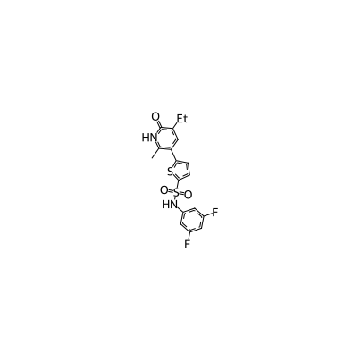 CCc1cc(-c2ccc(S(=O)(=O)Nc3cc(F)cc(F)c3)s2)c(C)[nH]c1=O